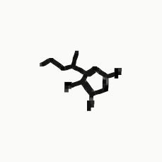 CCCC(C)c1cc(F)cc(F)c1F